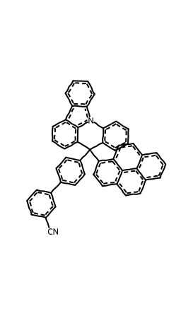 N#Cc1cccc(-c2ccc(C3(c4ccc5ccc6cccc7ccc4c5c67)c4ccccc4-n4c5ccccc5c5cccc3c54)cc2)c1